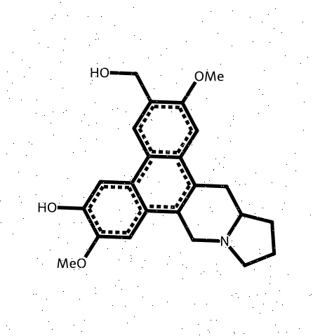 COc1cc2c3c(c4cc(OC)c(CO)cc4c2cc1O)CC1CCCN1C3